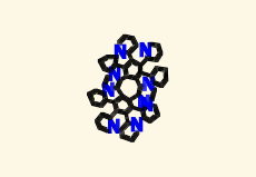 c1ccc(-c2c(-c3ccccn3)c(-c3ccccn3)c(-c3ccccc3)c3c2-c2nccnc2-c2c(-c4ccccc4)c(-c4ccccn4)c(-c4ccccn4)c(-c4ccccn4)c2-c2nccnc2-3)cc1